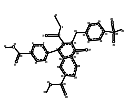 CCC(=O)c1c(-c2ccc(C(=O)OC)cc2)c2cc(C(=O)OC)ccc2c(=O)n1Cc1ccc(S(C)(=O)=O)cc1